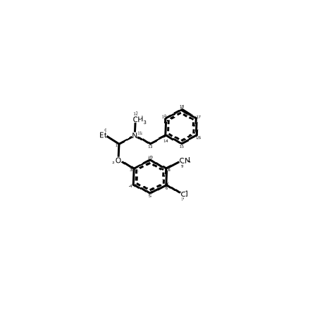 CCC(Oc1ccc(Cl)c(C#N)c1)N(C)Cc1ccccc1